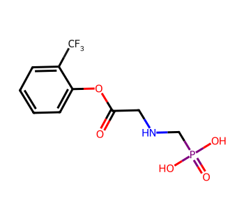 O=C(CNCP(=O)(O)O)Oc1ccccc1C(F)(F)F